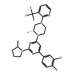 CC1CCCN1c1nc(-c2ccc(F)c(Cl)c2)cc(N2CCN(c3ncccc3C(F)(F)F)C[C@H]2C)n1